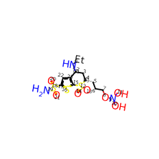 CCN[C@H]1C[C@H](CCCON(O)O)S(=O)(=O)c2sc(S(N)(=O)=O)cc21